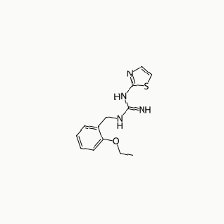 CCOc1ccccc1CNC(=N)Nc1nccs1